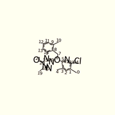 Cc1cc(C)c(OCc2c(C)cccc2-n2nnn(C)c2=O)nc1Cl